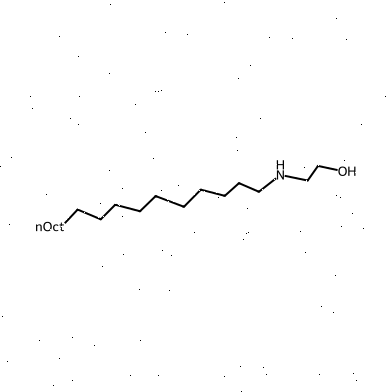 CCCCCCCCCCCCCCCCCCNCCO